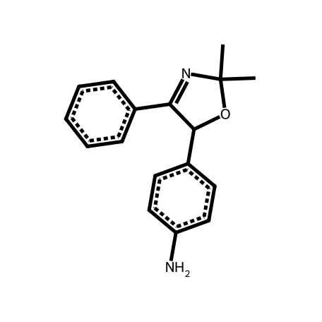 CC1(C)N=C(c2ccccc2)C(c2ccc(N)cc2)O1